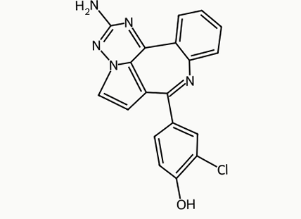 Nc1nc2c3c(ccn3n1)C(c1ccc(O)c(Cl)c1)=Nc1ccccc1-2